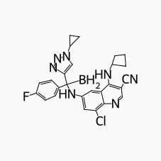 BC(Nc1cc(Cl)c2ncc(C#N)c(NC3CCC3)c2c1)(c1ccc(F)cc1)c1cn(C2CC2)nn1